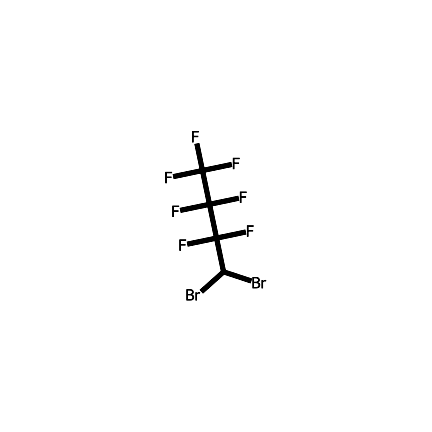 FC(F)(F)C(F)(F)C(F)(F)C(Br)Br